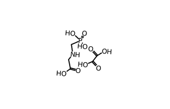 O=C(O)C(=O)O.O=C(O)CNCP(=O)(O)O